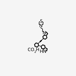 O=C(O)c1cccc(C#Cc2ccc3ccn(CCCN4CCSCC4)c3c2)c1-c1ccc2cc[nH]c2c1